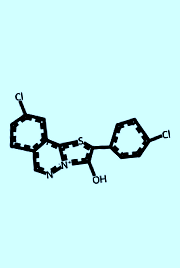 Oc1c(-c2ccc(Cl)cc2)sc2c3cc(Cl)ccc3cn[n+]12